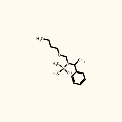 CCCCOCN(C(C)c1ccccc1)[Si](C)(C)C